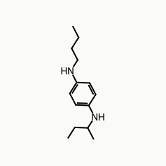 CCCCNc1ccc(NC(C)CC)cc1